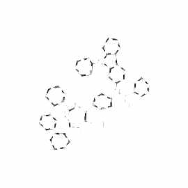 CCC1c2ccccc2-c2cc3c4ccccc4n(-c4ccccc4)c3cc2N1c1ccc(C2=C(C)C(C)C(c3ccccc3)=NC(c3ccccc3-c3ccccc3)=N2)cc1